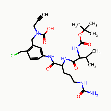 C#CCN(Cc1cc(NC(=O)C(CCCNC(N)=O)NC(=O)C(NC(=O)OC(C)(C)C)C(C)C)ccc1CCl)C(=O)O